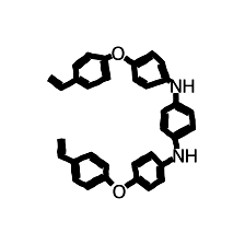 C=Cc1ccc(Oc2ccc(Nc3ccc(Nc4ccc(Oc5ccc(C=C)cc5)cc4)cc3)cc2)cc1